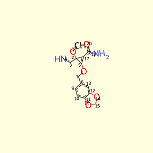 COC1(C=N)C(OCc2ccc3c(c2)OCO3)=C1C(N)=O